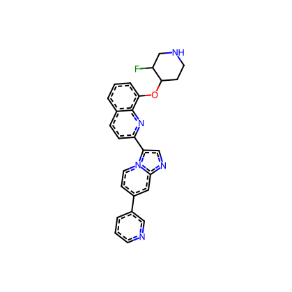 FC1CNCCC1Oc1cccc2ccc(-c3cnc4cc(-c5cccnc5)ccn34)nc12